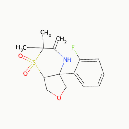 C=C1NC2(c3ccccc3F)COCC2S(=O)(=O)C1(C)C